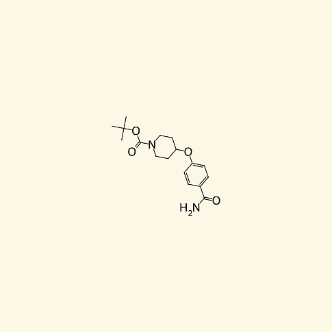 CC(C)(C)OC(=O)N1CCC(Oc2ccc(C(N)=O)cc2)CC1